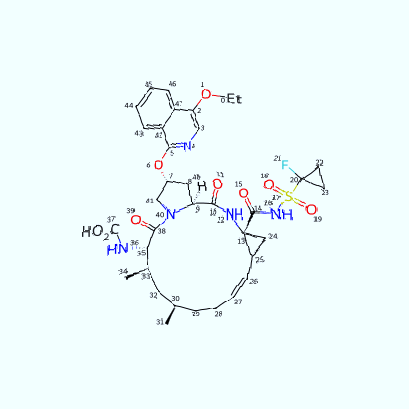 CCOc1cnc(O[C@@H]2C[C@H]3C(=O)N[C@]4(C(=O)NS(=O)(=O)C5(F)CC5)CC4/C=C\CC[C@@H](C)C[C@@H](C)[C@H](NC(=O)O)C(=O)N3C2)c2ccccc12